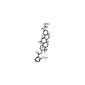 COC(=O)N[C@@]1(C)CC[C@]2(C)CC[C@]3(C)C(=CC(=O)[C@@H]4[C@@]5(C)CC[C@H](OC(=O)c6ccccc6C(=O)O)C(C)(C)[C@@H]5CC[C@]43C)[C@H]2C1